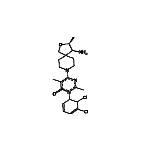 Cc1c(N2CCC3(CC2)CO[C@@H](C)[C@H]3N)nc(C)n(C2C=CC=C(Cl)C2Cl)c1=O